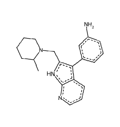 CC1CCCCN1Cc1[nH]c2ncccc2c1-c1cccc(N)c1